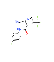 N#Cc1ncc(C(F)(F)F)cc1C(=O)Nc1ccc(F)cc1